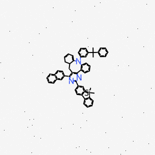 CC(C)(c1ccccc1)c1cccc(N2C3=CC=CCC3Cc3c(-c4ccc5ccccc5c4)nc(-c4ccc5c(c4)[Si](C)(C)c4ccccc4-5)nc3-c3ccccc32)c1